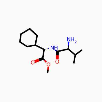 COC(=O)[C@@H](NC(=O)[C@@H](N)C(C)C)C1CCCCC1